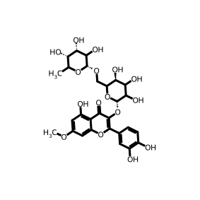 COc1cc(O)c2c(=O)c(O[C@@H]3OC(CO[C@@H]4OC(C)[C@H](O)[C@H](O)C4O)[C@@H](O)C(O)C3O)c(-c3ccc(O)c(O)c3)oc2c1